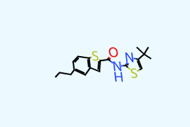 CCCc1ccc2sc(C(=O)Nc3nc(C(C)(C)C)cs3)cc2c1